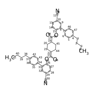 CCCCc1ccc(-c2cc(C#N)ccc2OC(=O)C2CCC(C(=O)Oc3ccc(C#N)cc3-c3ccc(CCCC)cc3)CC2)cc1